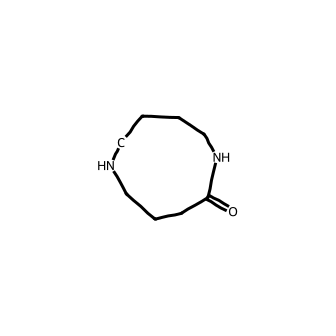 O=C1CCCNCCCCN1